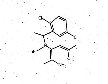 CCCN(C(/C=C(/C)N)=C(\C)N)C(C)c1cc(Cl)ccc1Cl